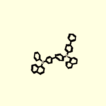 C1=CC2=C(N(c3ccc(-c4ccccc4)cc3)c3ccc(-c4ccc(N(c5ccccc5)c5cccc6ccccc56)cc4)cc3)C=CCC2C=C1